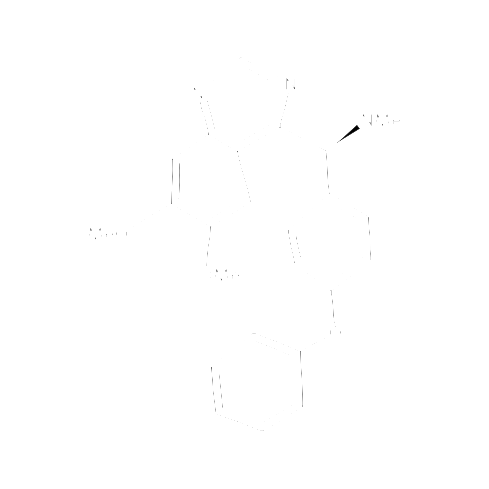 CN[C@@H](c1ccc(Oc2ccccc2)cc1)c1ncnc2cc(OC)c(OC)cc12